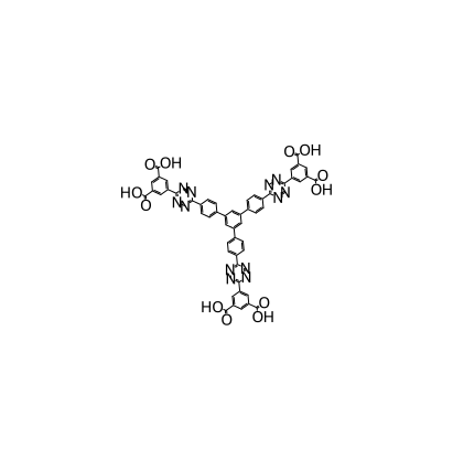 O=C(O)c1cc(C(=O)O)cc(-c2nnc(-c3ccc(-c4cc(-c5ccc(-c6nnc(-c7cc(C(=O)O)cc(C(=O)O)c7)nn6)cc5)cc(-c5ccc(-c6nnc(-c7cc(C(=O)O)cc(C(=O)O)c7)nn6)cc5)c4)cc3)nn2)c1